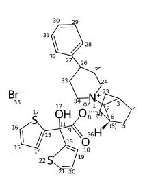 C[N+]1(C2C3CC[C@@H]2[C@H](OC(=O)C(O)(c2cccs2)c2cccs2)C3)CCC(c2ccccc2)CC1.[Br-]